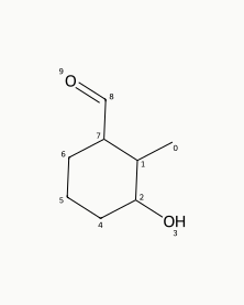 CC1C(O)CCCC1C=O